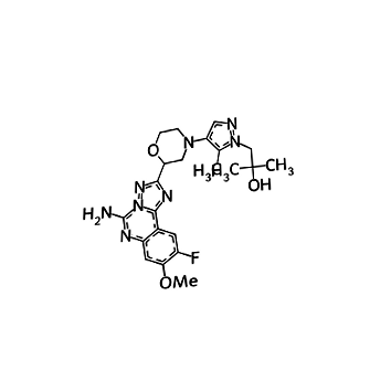 COc1cc2nc(N)n3nc(C4CN(c5cnn(CC(C)(C)O)c5C)CCO4)nc3c2cc1F